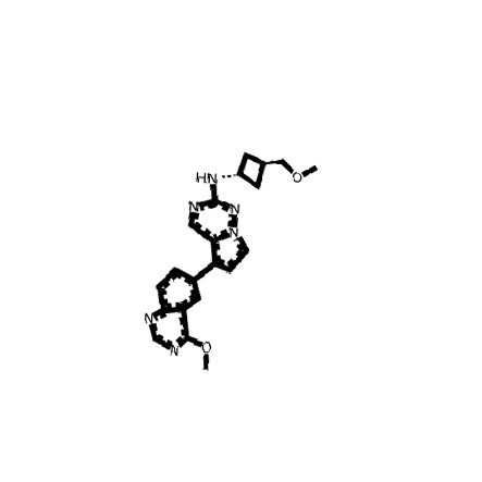 COC[C@H]1C[C@H](Nc2ncc3c(-c4ccc5ncnc(OC)c5c4)ccn3n2)C1